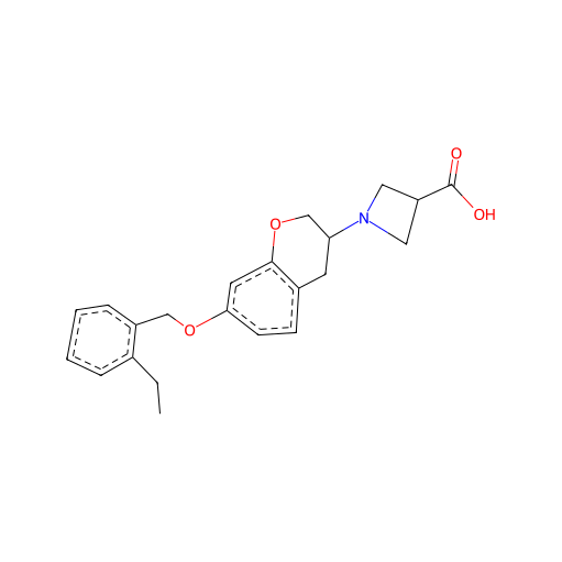 CCc1ccccc1COc1ccc2c(c1)OCC(N1CC(C(=O)O)C1)C2